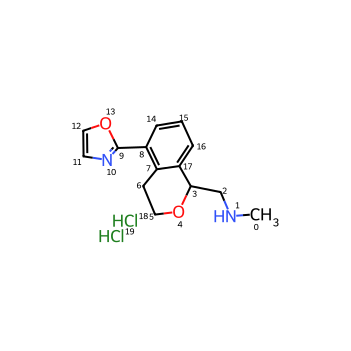 CNCC1OCCc2c(-c3ncco3)cccc21.Cl.Cl